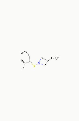 Cc1ccccc1SN1CC(C(=O)O)C1